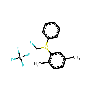 Cc1ccc(C)c([S+](CF)c2ccccc2)c1.F[B-](F)(F)F